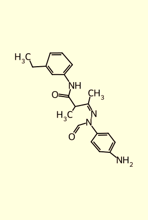 CCc1cccc(NC(=O)C(C)/C(C)=N\N(C=O)c2ccc(N)cc2)c1